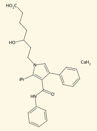 CC(C)c1c(C(=O)Nc2ccccc2)c(-c2ccccc2)cn1CCC(O)CCCC(=O)O.[CaH2]